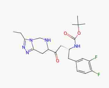 CCc1nnc2n1CNC(C(=O)C[C@@H](Cc1ccc(F)c(F)c1)NC(=O)OC(C)(C)C)C2